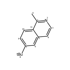 Cc1nccc2cc(C(C)(C)C)ccc12